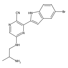 CC(N)CNc1cnc(C#N)c(-c2cc3cc(Br)ccc3[nH]2)n1